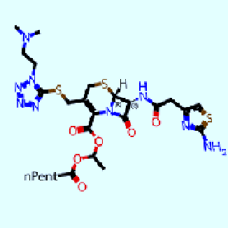 CCCCCC(=O)OC(C)OC(=O)C1=C(CSc2nnnn2CCN(C)C)CS[C@@H]2[C@H](NC(=O)Cc3csc(N)n3)C(=O)N12